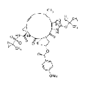 COc1ccc(C(=O)O[C@@H]2C[C@H]3C(=O)N[C@]4(C(=O)NS(=O)(=O)C5(C)CC5)CC4/C=C\CC[C@H](C)C[C@@H](C)[C@H](NC(=O)OC(C)(C)C(F)(F)F)C(=O)N3C2)cc1